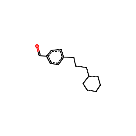 O=Cc1ccc(CCCC2CCCCC2)cc1